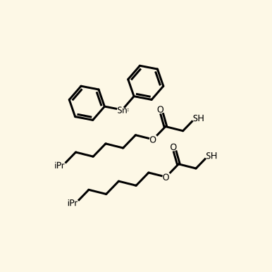 CC(C)CCCCCOC(=O)CS.CC(C)CCCCCOC(=O)CS.c1cc[c]([Sn][c]2ccccc2)cc1